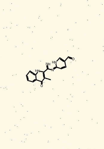 Cc1c(C(=N)/N=c2/ccc(C=O)c[nH]2)[nH]c2ccccc2c1=O